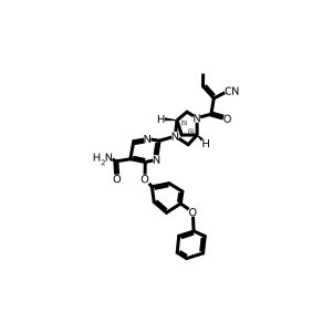 CC=C(C#N)C(=O)N1C[C@@H]2C[C@H]1CN2c1ncc(C(N)=O)c(Oc2ccc(Oc3ccccc3)cc2)n1